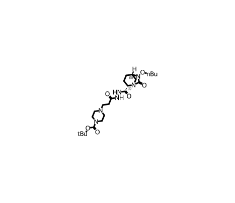 CCCCON1C(=O)N2C[C@@H]1CC[C@H]2C(=O)NNC(=O)CCN1CCN(C(=O)OC(C)(C)C)CC1